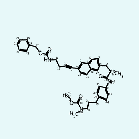 C[C@@H](Cc1ccc2cc(C#CCCNC(=O)OCc3ccccc3)ccc2c1)C(=O)Nc1ccc(CCCN(C)C(=O)OC(C)(C)C)cc1